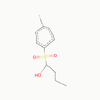 CCCC(O)S(=O)(=O)c1ccc(C)cc1